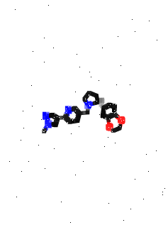 Cn1cc(-c2ccc(CN3CCC[C@@H]3c3ccc4c(c3)OCCO4)cn2)cn1